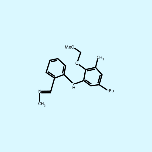 C/N=C/c1ccccc1Pc1cc(C(C)(C)C)cc(C)c1OCOC